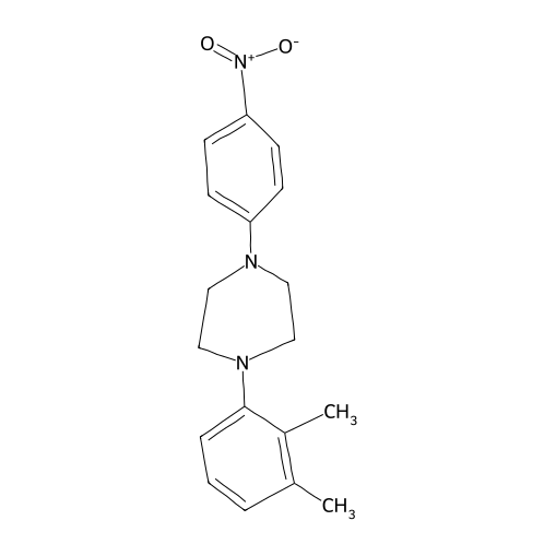 Cc1cccc(N2CCN(c3ccc([N+](=O)[O-])cc3)CC2)c1C